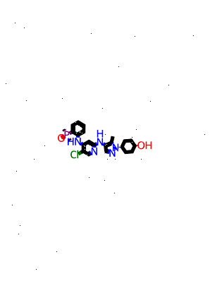 Cc1c(Nc2cc(Nc3ccccc3P(C)(C)=O)c(Cl)cn2)cnn1[C@H]1CC[C@@H](O)CC1